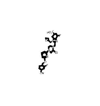 CCC1CN(c2cccc(OCc3ccc(C#N)cc3F)n2)CCN1Cc1nc2c(F)cc(C(=O)O)cc2n1CC1CCO1